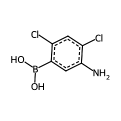 Nc1cc(B(O)O)c(Cl)cc1Cl